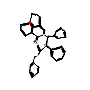 N=C(c1ccccc1)N(Cc1ccccc1)[C@@H](c1ccccc1)[C@H](C(=O)OCc1ccccc1)c1ccccc1